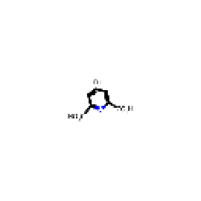 O=C(O)c1cccc(C(=O)O)n1.[Eu]